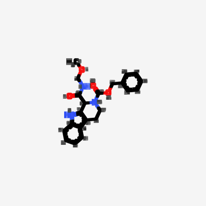 COCNC(=O)C1c2[nH]c3ccccc3c2CCN1C(=O)OCc1ccccc1